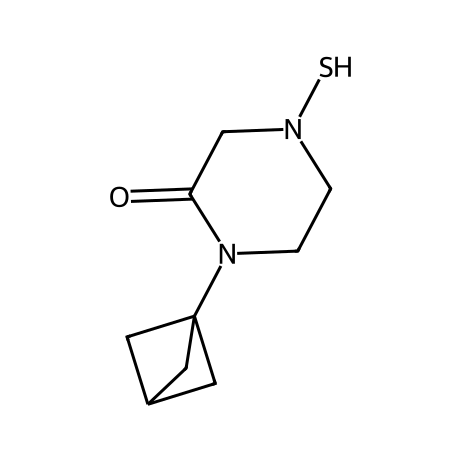 O=C1CN(S)CCN1C12CC(C1)C2